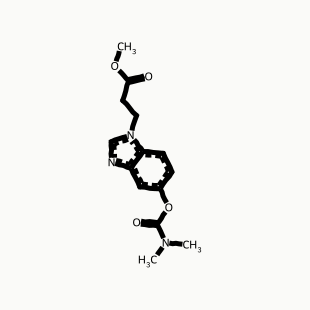 COC(=O)CCn1cnc2cc(OC(=O)N(C)C)ccc21